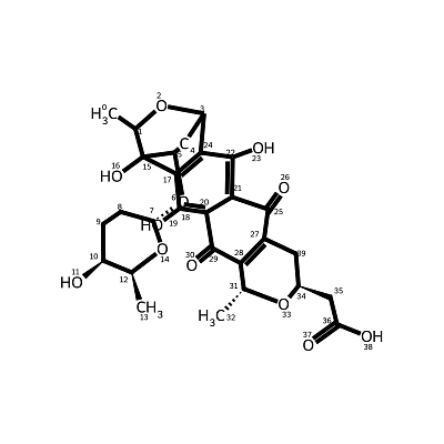 CC1OC2CC(O[C@H]3CC[C@H](O)[C@H](C)O3)C1(O)c1c(O)c3c(c(O)c12)C(=O)C1=C(C3=O)[C@@H](C)O[C@H](CC(=O)O)C1